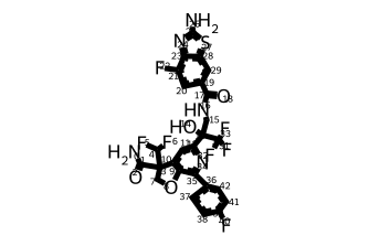 NC(=O)C1(C(F)F)COc2c1cc(C(O)(CNC(=O)c1cc(F)c3nc(N)sc3c1)C(F)(F)F)nc2-c1ccc(F)cc1